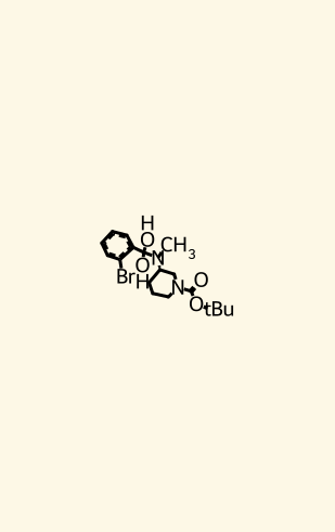 CN([C@@H]1CCCN(C(=O)OC(C)(C)C)C1)C(O)(O)c1ccccc1Br